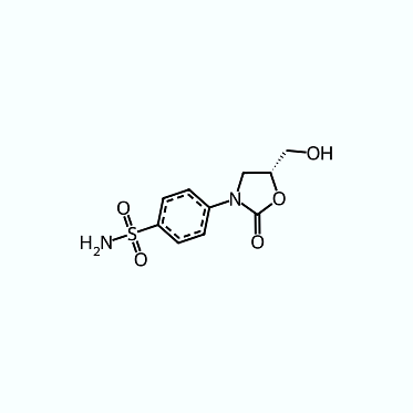 NS(=O)(=O)c1ccc(N2C[C@H](CO)OC2=O)cc1